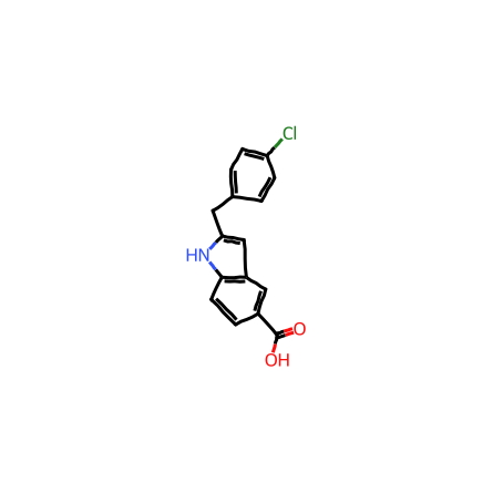 O=C(O)c1ccc2[nH]c(Cc3ccc(Cl)cc3)cc2c1